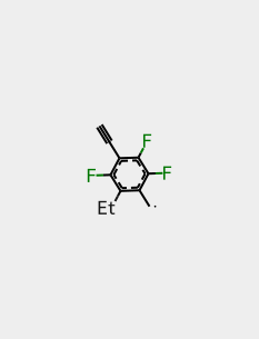 C#Cc1c(F)c(F)c([CH2])c(CC)c1F